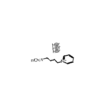 Br.Br.Br.CCCCCCCCCCCC[n+]1ccccc1